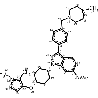 CNc1cc2c(cn1)c(-c1ccc(CN3CCN(C)CC3)cc1)nn2[C@H]1CC[C@@H](Oc2cnn(C)c2C(F)(F)F)CC1